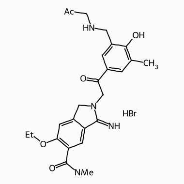 Br.CCOc1cc2c(cc1C(=O)NC)C(=N)N(CC(=O)c1cc(C)c(O)c(CNCC(C)=O)c1)C2